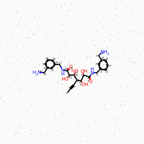 CC#CC(C(O)C(O)C(=O)NCc1cccc(CN)c1)C(O)C(O)C(=O)NCc1cccc(CN)c1